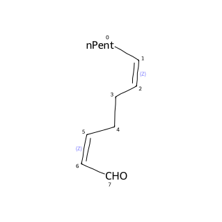 CCCCC/C=C\CC/C=C\C=O